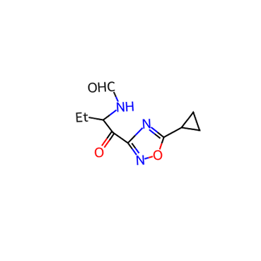 CCC(NC=O)C(=O)c1noc(C2CC2)n1